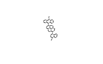 Fc1ccc(-c2ccc3ccc4c(-c5c6ccccc6c(F)c6ccccc56)ccc5ccc2c3c54)c2ccccc12